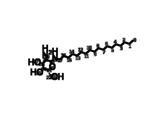 CCCCCCCCCCCCCCCCCCNC1O[C@H](CO)[C@@H](O)[C@H](O)[C@H]1N